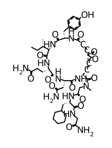 CC[C@H](C)[C@@H]1NC(=O)[C@H](Cc2ccc(O)cc2)NC(=O)CCS(=O)(=O)CC[C@@H](C(=O)N(C)CC(=O)N[C@@H](CC2CCCCC2)C(=O)NCC(N)=O)NC(=O)[C@H](CC(N)=O)NC(=O)[C@H](CCC(N)=O)NC1=O